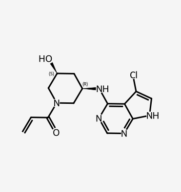 C=CC(=O)N1C[C@@H](O)C[C@@H](Nc2ncnc3[nH]cc(Cl)c23)C1